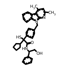 Cc1cc(C)c2c3ccccc3n(Cc3ccc(C(S)(C(=O)NC(CO)c4ccccc4)C4CCCC4)cc3)c2n1